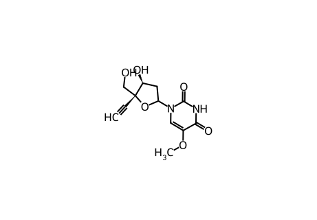 C#C[C@]1(CO)OC(n2cc(OC)c(=O)[nH]c2=O)C[C@@H]1O